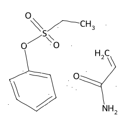 C=CC(N)=O.CCS(=O)(=O)Oc1ccccc1